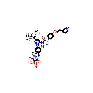 CN1C(=O)C(O)(O)C(=O)N1Cc1ccc(-n2nc(C(C)(C)C)cc2NC(=O)Nc2ccc(OCCc3cccnc3)cc2)cc1